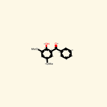 COc1cc(OC)c(O)c(C(=O)c2ccccc2)c1